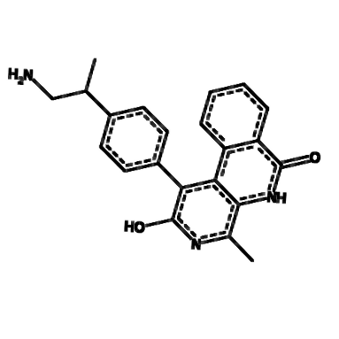 Cc1nc(O)c(-c2ccc(C(C)CN)cc2)c2c1[nH]c(=O)c1ccccc12